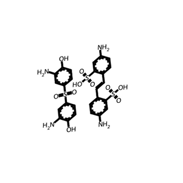 Nc1cc(S(=O)(=O)c2ccc(O)c(N)c2)ccc1O.Nc1ccc(C=Cc2ccc(N)cc2S(=O)(=O)O)c(S(=O)(=O)O)c1